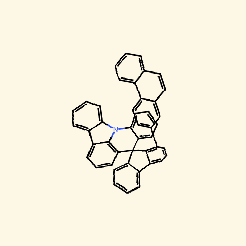 c1ccc2c(c1)-c1cccc(-c3ccc4c(ccc5ccccc54)c3)c1C21c2ccccc2-n2c3ccccc3c3cccc1c32